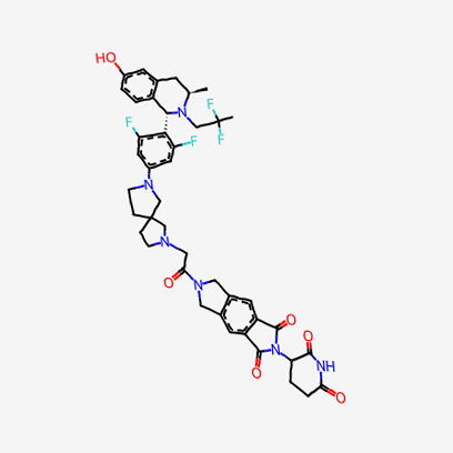 C[C@@H]1Cc2cc(O)ccc2[C@@H](c2c(F)cc(N3CCC4(CCN(CC(=O)N5Cc6cc7c(cc6C5)C(=O)N(C5CCC(=O)NC5=O)C7=O)C4)C3)cc2F)N1CC(C)(F)F